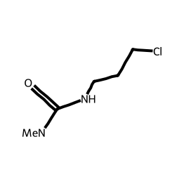 CNC(=O)NCCCCl